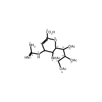 CC(=O)NC1C(NC(=N)N)C=C(C(=O)O)OC1C(OC(C)=O)C(COC(C)=O)OC(C)=O